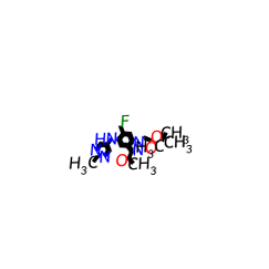 CC(=O)c1nn(CC(=O)OC(C)(C)C)c2cc(CF)c(Nc3cnc(C)nc3)cc12